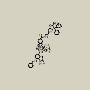 CC(C)(C)[Si](C)(C)O[C@@H](CNCc1ccc(C(=O)NCCN2CC[C@@H](C(C(N)=O)(c3ccccc3)c3ccccc3)C2)cc1)c1ccc(OCc2ccccc2)c2[nH]c(=O)ccc12